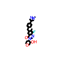 Cc1c(Cc2ccc(-c3cnn(C)c3)cc2)cc2c(=O)n([C@H]3CCOC[C@@H]3O)cnc2c1F